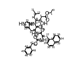 CCOC(=O)C[C@H](O)[C@H](CC(C)C)NC(=O)[C@H](Cc1c[nH]cn1)NC(=O)[C@H](Cc1cccc2ccccc12)NC(=O)OCc1ccccc1